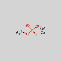 O=P(O)(O)O[SiH3].[LiH].[Zn]